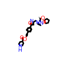 C[C@H](OC1CCCCO1)c1nccn1Cc1cc(-c2ccc(C#COC(=O)C3CCNCC3)cc2)on1